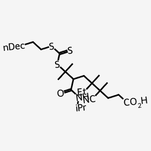 CCCCCCCCCCCCSC(=S)SC(C)(C)C(CC(C)(CC)C(C)(C#N)CCC(=O)O)C(=O)NC(C)C